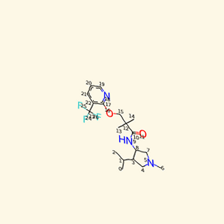 CC(C)C1CN(C)CC1NC(=O)C(C)(C)COc1ncccc1C(F)(F)F